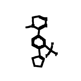 CN1CC=NN=C1c1ccc(C2=CCCC2)c(C(F)(F)F)c1